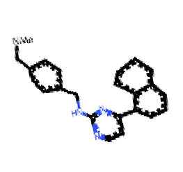 CNCc1ccc(CNc2nccc(-c3cccc4ccccc34)n2)cc1